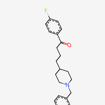 O=C(CCCC1CCN(Cc2ccccc2)CC1)c1ccc(F)cc1